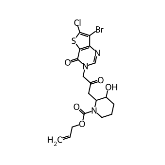 C=CCOC(=O)N1CCCC(O)C1CC(=O)Cn1cnc2c(Br)c(Cl)sc2c1=O